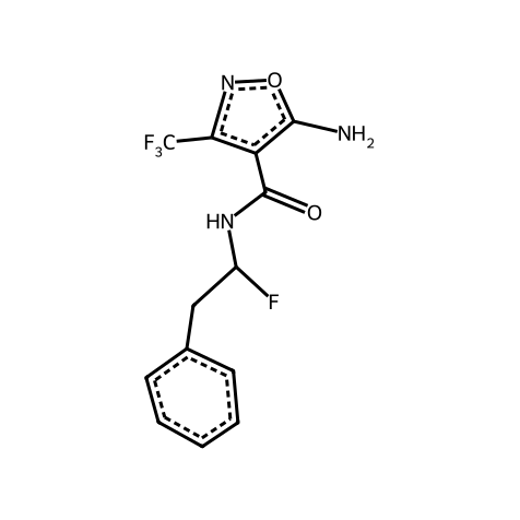 Nc1onc(C(F)(F)F)c1C(=O)NC(F)Cc1ccccc1